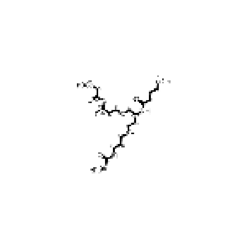 CCCCCCCCCCCCCC(=O)N[C@@H](CCNCCCNC(=O)OC(C)(C)C)COCC[C@@H](C)OC(=O)CCCCCCCCCCC